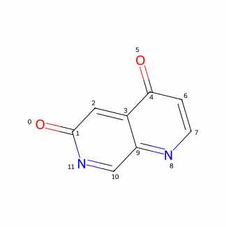 O=C1C=C2C(=O)C=CN=C2C=N1